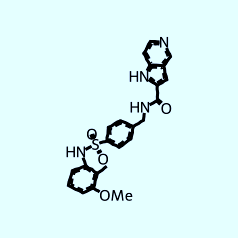 COc1cccc(NS(=O)(=O)c2ccc(CNC(=O)c3cc4cnccc4[nH]3)cc2)c1C